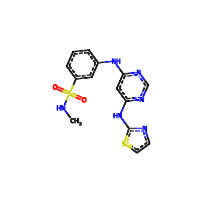 CNS(=O)(=O)c1cccc(Nc2cc(Nc3nccs3)ncn2)c1